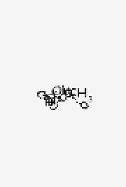 C[C@H](CCCc1ccccc1)Oc1ccc2c(c1)=C1C(O)=CC(=O)CN1[C@H]1CCCCC=21